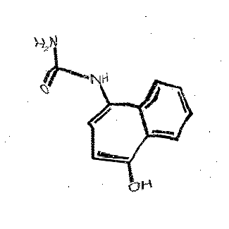 NC(=O)Nc1ccc(O)c2ccccc12